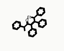 CCC(/C(=C(\C(=O)C(C)c1ccccc1)c1ccccc1)c1ccccc1)c1ccccc1